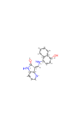 O=C1Nc2cccnc2C1=CNc1ccc(O)c2ccccc12